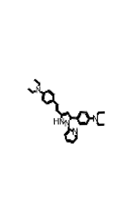 CCN(CC)c1ccc(C=CC2=CC(c3ccc(N(CC)CC)cc3)N(c3ccccn3)N2)cc1